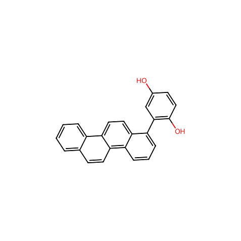 Oc1ccc(O)c(-c2cccc3c2ccc2c4ccccc4ccc32)c1